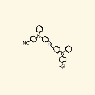 C[Si](C)(C)c1ccc(N(c2ccccc2)c2ccc(/C=C/c3ccc(N(c4ccccc4)c4ccc(C#N)cc4)cc3)cc2)cc1